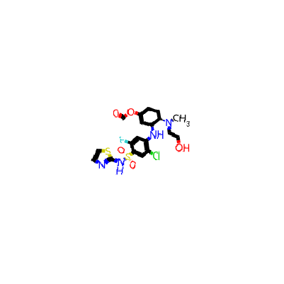 CN(CCO)[C@H]1CCC(OC=O)C[C@@H]1Nc1cc(F)c(S(=O)(=O)Nc2nccs2)cc1Cl